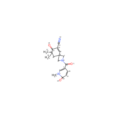 Cn1cc(C(=O)N2CC3(C=C(C#N)C(=O)C(C)(C)C3)C2)ccc1=O